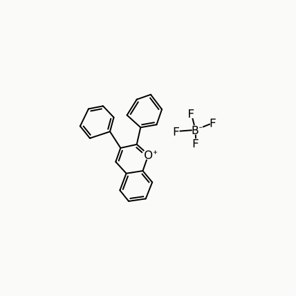 F[B-](F)(F)F.c1ccc(-c2cc3ccccc3[o+]c2-c2ccccc2)cc1